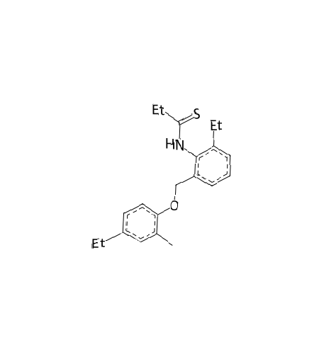 CCC(=S)Nc1c(CC)cccc1COc1ccc(CC)cc1C